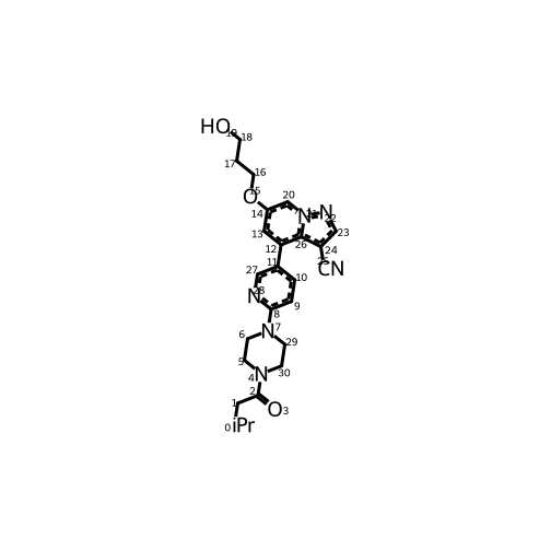 CC(C)CC(=O)N1CCN(c2ccc(-c3cc(OCCCO)cn4ncc(C#N)c34)cn2)CC1